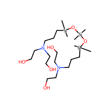 C[Si](C)(CCCN(CCO)CCO)O[Si](C)(C)O[Si](C)(C)CCCN(CCO)CCO